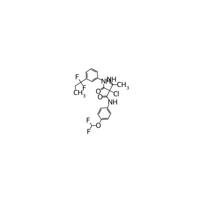 CCC(F)(F)c1cccc(NC(=O)C(Cl)(C(C)=N)C(=O)Nc2ccc(OC(F)F)cc2)c1